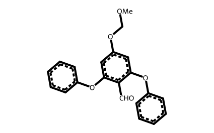 COCOc1cc(Oc2ccccc2)c(C=O)c(Oc2ccccc2)c1